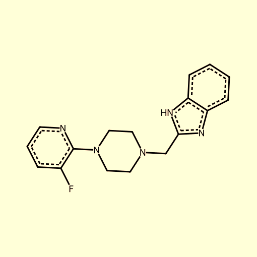 Fc1cccnc1N1CCN(Cc2nc3ccccc3[nH]2)CC1